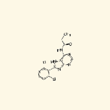 CCC(=O)Nc1ncnc2nc(-c3c(Cl)cccc3Cl)[nH]c12